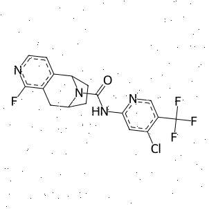 O=C(Nc1cc(Cl)c(C(F)(F)F)cn1)N1C2CCC1c1ccnc(F)c1C2